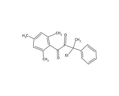 CCC(C)(c1ccccc1)[P](=O)C(=O)c1c(C)cc(C)cc1C